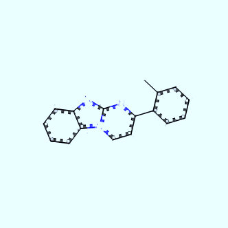 Cc1ccccc1-c1ccn2c(n1)nc1ccccc12